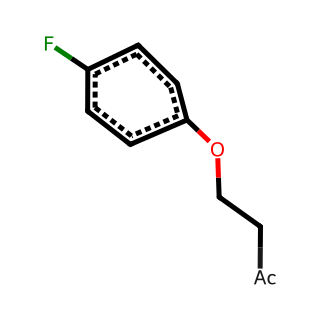 CC(=O)CCOc1ccc(F)cc1